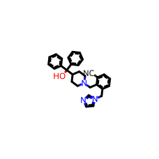 N#Cc1cccc(Cn2ccnc2)c1CN1CCC(C(O)(c2ccccc2)c2ccccc2)CC1